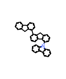 c1ccc2c(c1)Cc1c-2cccc1-c1cccc2c1Cc1cccc(-n3c4ccccc4c4ccccc43)c1-2